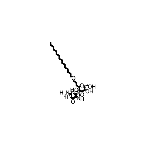 CCCCCCCCCCCCCCCCOCCC[C]1O[C@H](CO)[C@H](O)[C@H](O)[C@]1(O)n1cnc2c(=O)[nH]c(N)nc21